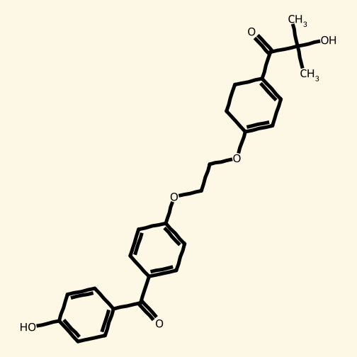 CC(C)(O)C(=O)C1=CC=C(OCCOc2ccc(C(=O)c3ccc(O)cc3)cc2)CC1